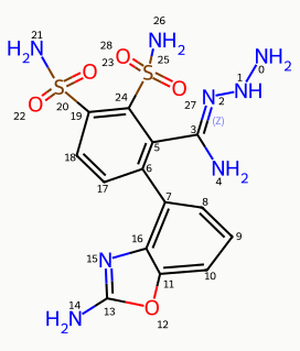 NN/N=C(\N)c1c(-c2cccc3oc(N)nc23)ccc(S(N)(=O)=O)c1S(N)(=O)=O